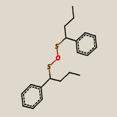 CCCC(SOSC(CCC)c1ccccc1)c1ccccc1